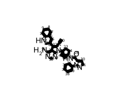 C#Cc1c(C2=Cc3ccccc3NC2)c2c(N)ncnc2n1C12CCC(NC(=O)c3ccnn3-c3ccccc3)(CC1)C2